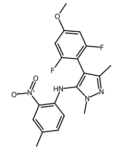 COc1cc(F)c(-c2c(C)nn(C)c2Nc2ccc(C)cc2[N+](=O)[O-])c(F)c1